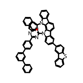 c1ccc(-c2cccc(-c3ccc(-c4nc(-c5ccccc5)nc(-n5c6ccc(-c7ccc8sc9ccccc9c8c7)cc6c6ccc7c8ccccc8n(-c8ccccc8)c7c65)n4)cc3)c2)cc1